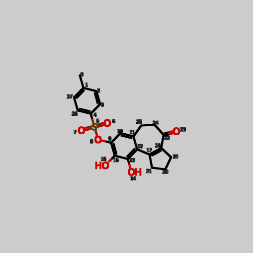 Cc1ccc(S(=O)(=O)Oc2cc3c(c(O)c2O)C2=C(CCC2)C(=O)CC3)cc1